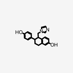 Oc1ccc(C2CCc3cc(O)ccc3C2Cn2ccnc2)cc1